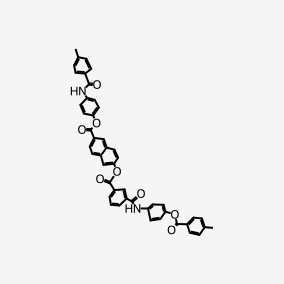 Cc1ccc(C(=O)Nc2ccc(OC(=O)c3ccc4cc(OC(=O)c5cccc(C(=O)Nc6ccc(OC(=O)c7ccc(C)cc7)cc6)c5)ccc4c3)cc2)cc1